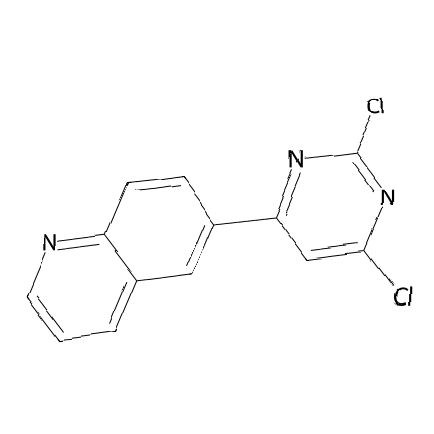 Clc1cc(-c2ccc3ncccc3c2)nc(Cl)n1